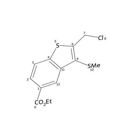 CCOC(=O)c1ccc2sc(CCl)c(SC)c2c1